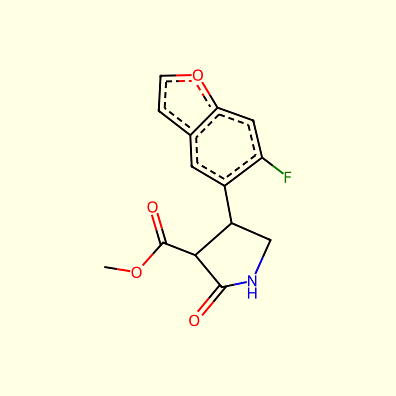 COC(=O)C1C(=O)NCC1c1cc2ccoc2cc1F